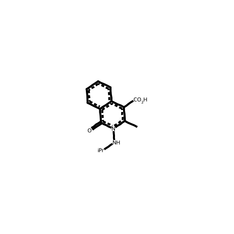 Cc1c(C(=O)O)c2ccccc2c(=O)n1NC(C)C